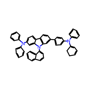 C1=CCCC(N(c2ccccc2)c2ccc(-c3ccc4c5ccc(N(c6ccccc6)c6ccccc6)cc5n(-c5cccc6ccccc56)c4c3)cc2)=C1